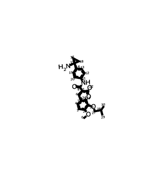 COc1ccc2cc(C(=O)Nc3ccc(C4(N)CC4)cc3)c(=O)oc2c1OCC(C)C